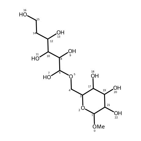 COC1OC(COC(O)C(O)C(O)C(O)CCO)C(O)C(O)C1O